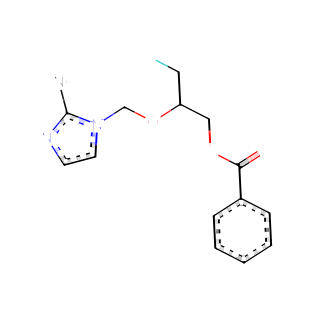 O=C(OCC(CF)OCn1ccnc1[N+](=O)[O-])c1ccccc1